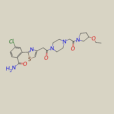 CCOC1CCN(C(=O)CN2CCN(C(=O)Cc3csc(-c4cc(Cl)ccc4C(N)=O)n3)CC2)C1